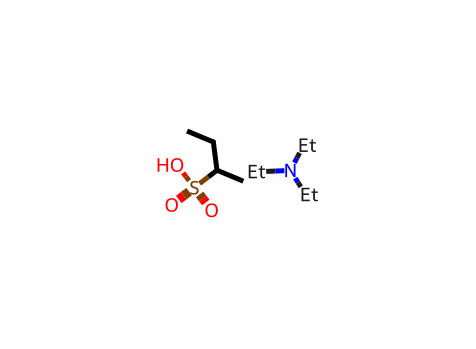 CCC(C)S(=O)(=O)O.CCN(CC)CC